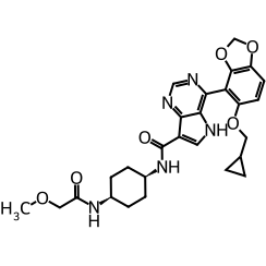 COCC(=O)N[C@H]1CC[C@@H](NC(=O)c2c[nH]c3c(-c4c(OCC5CC5)ccc5c4OCO5)ncnc23)CC1